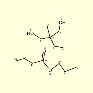 CCC(C)(CO)CO.CCCOC(=O)CCC